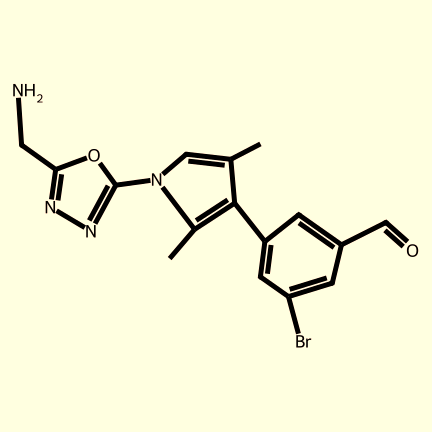 Cc1cn(-c2nnc(CN)o2)c(C)c1-c1cc(Br)cc(C=O)c1